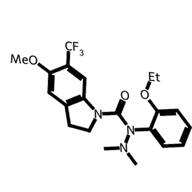 CCOc1ccccc1N(C(=O)N1CCc2cc(OC)c(C(F)(F)F)cc21)N(C)C